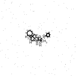 C[C@@]1(O)[C@@H](COc2ccccc2)O[C@@H](N2CCC3(C4CCCCCCC4)C(N)NCNC23)[C@@H]1O